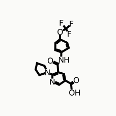 O=C(O)c1cnc(N2CCCC2)c(C(=O)Nc2ccc(OC(F)(F)F)cc2)c1